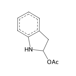 CC(=O)OC1Cc2ccccc2N1